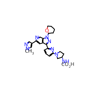 Cn1cc(-c2cc3c(-c4cccc(N5CC[C@@H](NC(=O)O)C5)n4)nn(C4CCCCO4)c3cn2)cn1